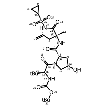 C=CC[C@@](C)(NC(=O)[C@@H]1C[C@@H](O)CN1C(=O)[C@@H](NC(=O)OC(C)(C)C)C(C)(C)C)C(=O)NS(=O)(=O)C1CC1